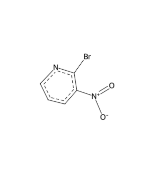 O=[N+]([O-])c1cccnc1Br